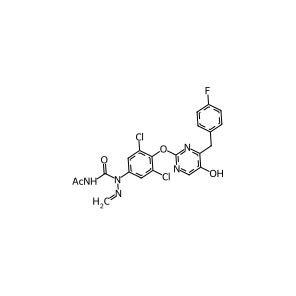 C=NN(C(=O)NC(C)=O)c1cc(Cl)c(Oc2ncc(O)c(Cc3ccc(F)cc3)n2)c(Cl)c1